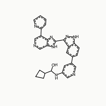 OC(Nc1cncc(-c2ccc3[nH]nc(-c4nc5c(-c6ccccn6)cncc5[nH]4)c3c2)c1)C1CCC1